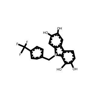 Oc1cc2c3ccc(O)c(O)c3n(Cc3ccc(C(F)(F)F)cc3)c2cc1O